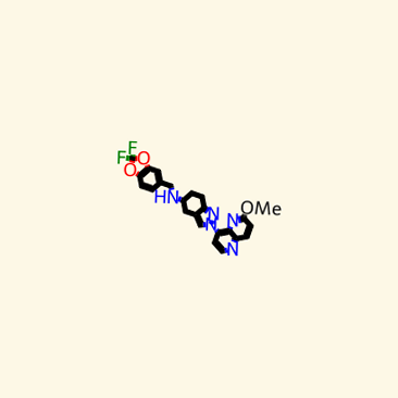 COc1ccc2nccc(-n3cc4c(n3)CCC(NCc3ccc5c(c3)OC(F)(F)O5)C4)c2n1